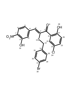 O=C(C(=Cc1ccc([N+](=O)[O-])c(O)c1)SCc1ccc(Br)cc1)c1cc(Cl)ccc1O